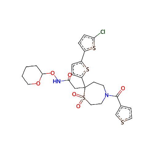 O=C(CC1(c2ccc(-c3ccc(Cl)s3)s2)CCN(C(=O)c2ccsc2)CCS1(=O)=O)NOC1CCCCO1